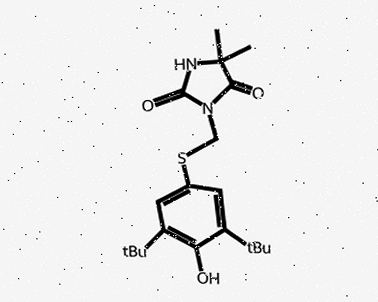 CC1(C)NC(=O)N(CSc2cc(C(C)(C)C)c(O)c(C(C)(C)C)c2)C1=O